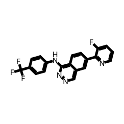 Fc1cccnc1-c1ccc2c(Nc3ccc(C(F)(F)F)cc3)nncc2c1